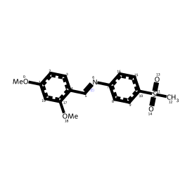 COc1ccc(/C=N/c2ccc(S(C)(=O)=O)cc2)c(OC)c1